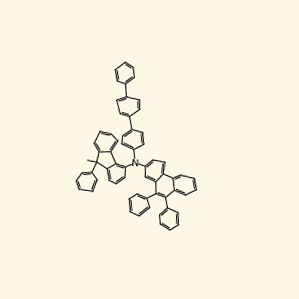 CC1(c2ccccc2)c2ccccc2-c2c(N(c3ccc(-c4ccc(-c5ccccc5)cc4)cc3)c3ccc4c(c3)c(-c3ccccc3)c(-c3ccccc3)c3ccccc34)cccc21